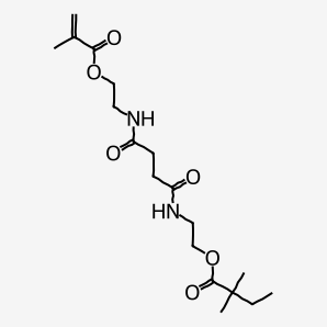 C=C(C)C(=O)OCCNC(=O)CCC(=O)NCCOC(=O)C(C)(C)CC